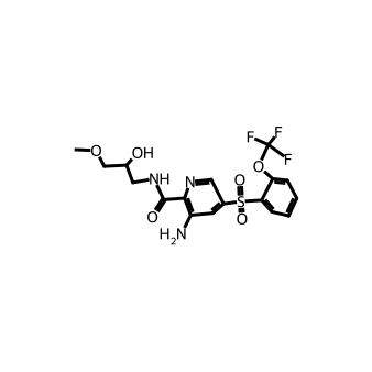 COCC(O)CNC(=O)c1ncc(S(=O)(=O)c2ccccc2OC(F)(F)F)cc1N